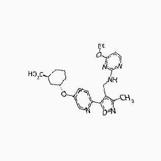 CCOc1ccnc(NCc2c(C)noc2-c2ccc(O[C@H]3CCC[C@H](C(=O)O)C3)cn2)n1